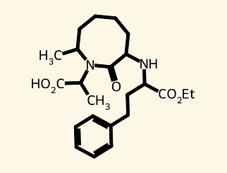 CCOC(=O)C(CCc1ccccc1)NC1CCCCC(C)N(C(C)C(=O)O)C1=O